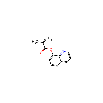 C=C(C)C(=O)Oc1cccc2cccnc12